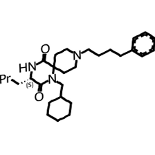 CC(C)C[C@@H]1NC(=O)C2(CCN(CCCCc3ccccc3)CC2)N(CC2CCCCC2)C1=O